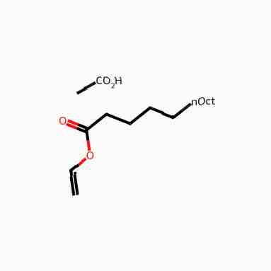 C=COC(=O)CCCCCCCCCCCC.CC(=O)O